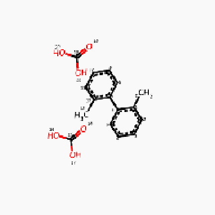 Cc1ccccc1-c1ccccc1C.O=C(O)O.O=C(O)O